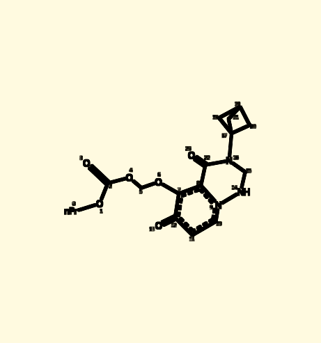 CCCOC(=O)OCOc1c2n(ccc1=O)NCN(C13CC(C1)C3)C2=O